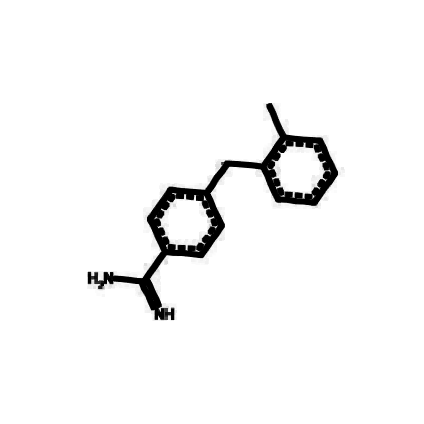 Cc1ccccc1[CH]c1ccc(C(=N)N)cc1